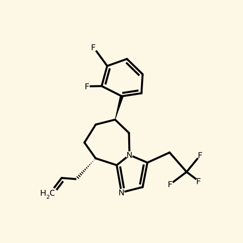 C=CC[C@@H]1CC[C@@H](c2cccc(F)c2F)Cn2c(CC(F)(F)F)cnc21